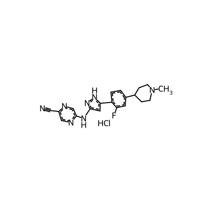 CN1CCC(c2ccc(-c3cc(Nc4cnc(C#N)cn4)n[nH]3)c(F)c2)CC1.Cl